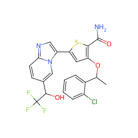 CC(Oc1cc(-c2cnc3ccc(C(O)C(F)(F)F)cn23)sc1C(N)=O)c1ccccc1Cl